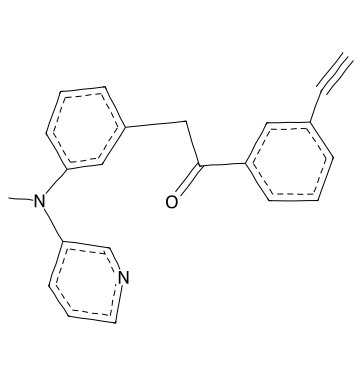 C#Cc1cccc(C(=O)Cc2cccc(N(C)c3cccnc3)c2)c1